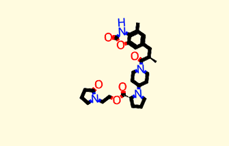 Cc1cc(C[C@@H](C)C(=O)N2CCC(N3CCC[C@@H]3C(=O)OCCN3CCCC3=O)CC2)cc2oc(=O)[nH]c12